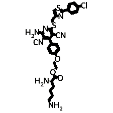 [C-]#[N+]c1c(N)nc(SCc2csc(-c3ccc(Cl)cc3)n2)c(C#N)c1-c1ccc(OCCOC(=O)[C@@H](N)CCCCN)cc1